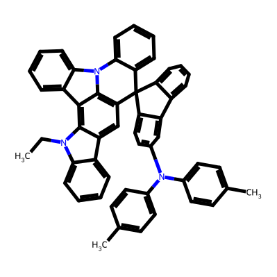 CCn1c2ccccc2c2cc3c4c(c5ccccc5n4-c4ccccc4C34c3ccccc3-c3cc(N(c5ccc(C)cc5)c5ccc(C)cc5)ccc34)c21